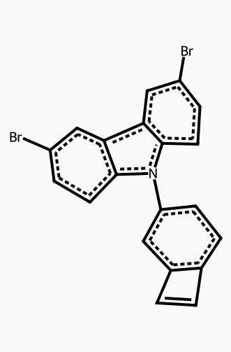 Brc1ccc2c(c1)c1cc(Br)ccc1n2-c1ccc2c(c1)C=C2